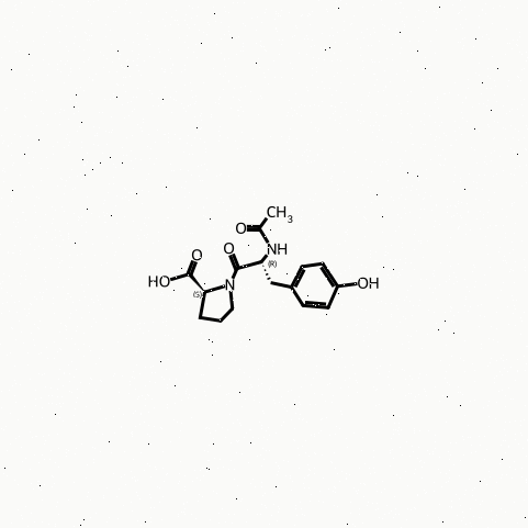 CC(=O)N[C@H](Cc1ccc(O)cc1)C(=O)N1CCC[C@H]1C(=O)O